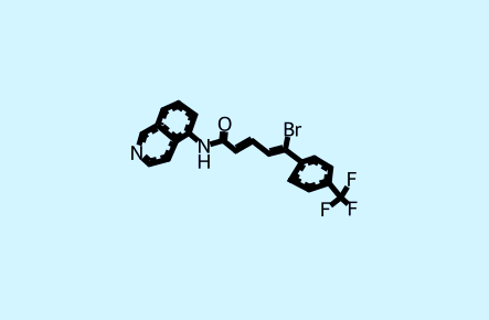 O=C(C=CC=C(Br)c1ccc(C(F)(F)F)cc1)Nc1cccc2cnccc12